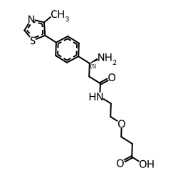 Cc1ncsc1-c1ccc([C@@H](N)CC(=O)NCCOCCC(=O)O)cc1